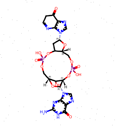 Nc1nc2c(ncn2[C@@H]2O[C@@H]3COP(=O)(O)OC4C[C@H](n5cnc6c5N=CCC6=O)O[C@@H]4COP(=O)(O)O[C@H]2C3O)c(=O)[nH]1